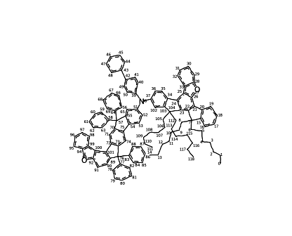 CCCCCCCC1(CCCCCCC)c2ccccc2-c2c1c1c(c3c2oc2ccccc23)-c2ccc(N(c3ccc(-c4ccccc4)cc3)c3ccc4c(c3)C(c3ccccc3)(c3ccccc3)c3cc5c(cc3-4)C(c3ccccc3)(c3ccccc3)c3ccc4oc6ccccc6c4c3-5)cc2C1(CCCCCCC)CCCCCCC